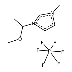 COC(C)[n+]1ccn(C)c1.F[P-](F)(F)(F)(F)F